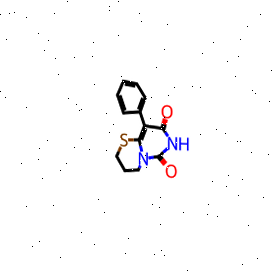 O=c1[nH]c(=O)n2c(c1-c1ccccc1)SCCC2